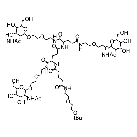 CC(=O)NC1C(OCCOCCNC(=O)CCC(NC(=O)CCC(NC(=O)CCCC(=O)NCCOCCOC(C)(C)C)C(=O)NCCOCCOC2OC(CO)C(O)C(O)C2NC(C)=O)C(=O)NCCOCCOC2OC(CO)C(O)C(O)C2NC(C)=O)OC(CO)C(O)C1O